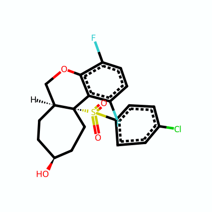 O=S(=O)(c1ccc(Cl)cc1)[C@]12CC[C@@H](O)CC[C@H]1COc1c(F)ccc(F)c12